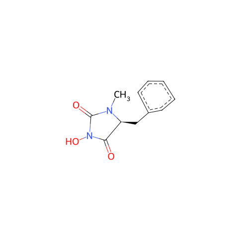 CN1C(=O)N(O)C(=O)[C@@H]1Cc1ccccc1